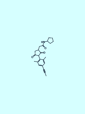 CC#Cc1cc(C)c(C2C(=O)CC(CC(=O)NC3CCCC3)C2=O)c(C)c1